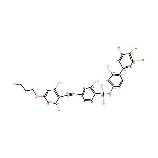 CCCCOc1cc(F)c(C#Cc2ccc(C(F)(F)Oc3ccc(-c4cc(F)c(F)c(F)c4)c(F)c3)c(F)c2)c(F)c1